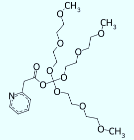 COCCOCCOC(OCCOCCOC)(OCCOCCOC)OC(=O)Cc1ccccn1